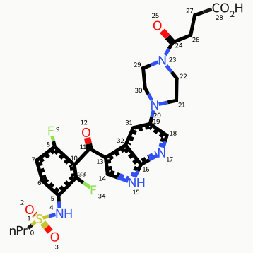 CCCS(=O)(=O)Nc1ccc(F)c(C(=O)c2c[nH]c3ncc(N4CCN(C(=O)CCC(=O)O)CC4)cc23)c1F